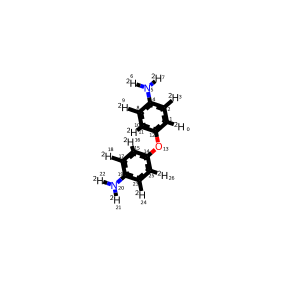 [2H]c1c([2H])c(N([2H])[2H])c([2H])c([2H])c1Oc1c([2H])c([2H])c(N([2H])[2H])c([2H])c1[2H]